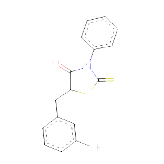 O=C1C(Cc2cccc(C(F)(F)F)c2)SC(=S)N1c1ccccc1